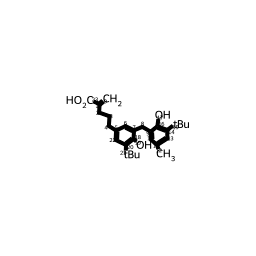 C=C(CCCc1cc(Cc2cc(C)cc(C(C)(C)C)c2O)c(O)c(C(C)(C)C)c1)C(=O)O